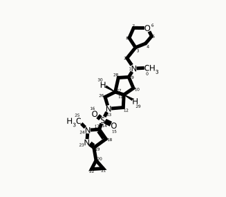 CN(CC1CCOCC1)C1C[C@@H]2CN(S(=O)(=O)c3cc(C4CC4)nn3C)C[C@@H]2C1